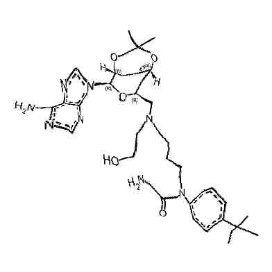 CC1(C)O[C@@H]2[C@H](O1)[C@@H](CN(CCO)CCCN(C(N)=O)c1ccc(C(C)(C)C)cc1)O[C@H]2n1cnc2c(N)ncnc21